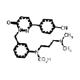 CN(C)CCCN(C(=O)O)c1cccc(Cn2nc(-c3ccc(C#N)cc3)ccc2=O)c1